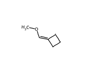 COC=C1[CH]CC1